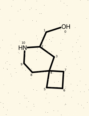 OCC1CC2(CCC2)CCN1